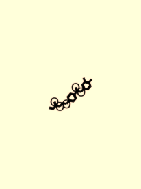 C=CC(=O)OCOc1ccc(C(=O)Oc2ccc(C)c(C)c2)cc1